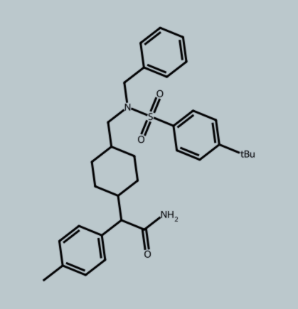 Cc1ccc(C(C(N)=O)C2CCC(CN(Cc3ccccc3)S(=O)(=O)c3ccc(C(C)(C)C)cc3)CC2)cc1